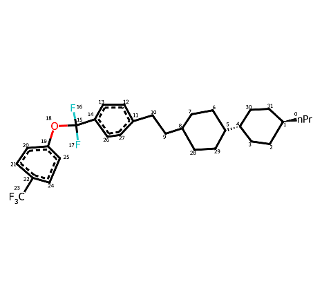 CCC[C@H]1CC[C@H](C2CCC(CCc3ccc(C(F)(F)Oc4ccc(C(F)(F)F)cc4)cc3)CC2)CC1